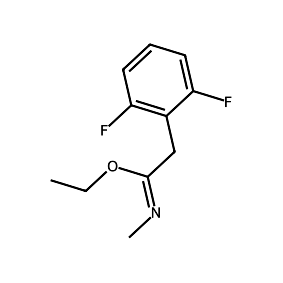 CCOC(Cc1c(F)cccc1F)=NC